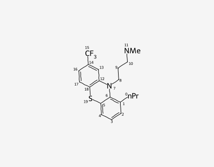 CCCc1cccc2c1N(CCCNC)c1cc(C(F)(F)F)ccc1S2